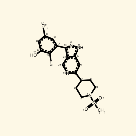 CS(=O)(=O)N1CCC(c2cc3[nH]nc(-c4cc(C(F)(F)F)cc(O)c4F)c3cn2)CC1